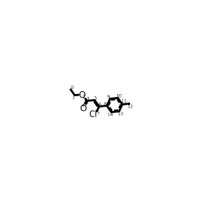 CCOC(=O)C=C(Cl)c1ccc(C)cc1